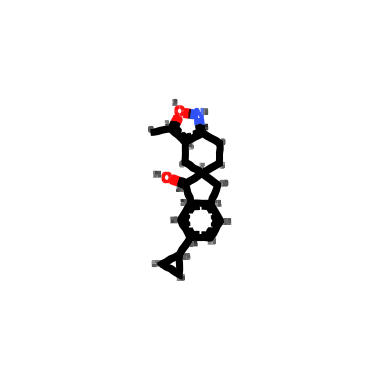 Cc1onc2c1CC1(CC2)Cc2ccc(C3CC3)cc2C1=O